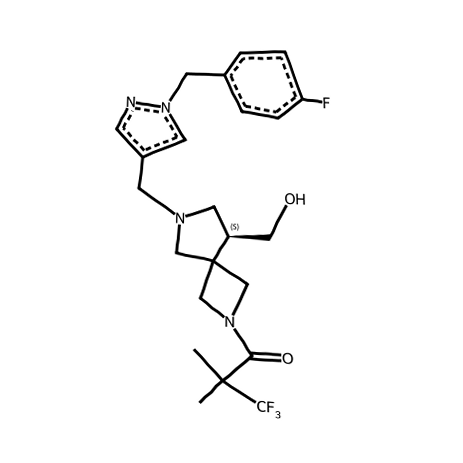 CC(C)(C(=O)N1CC2(CN(Cc3cnn(Cc4ccc(F)cc4)c3)C[C@H]2CO)C1)C(F)(F)F